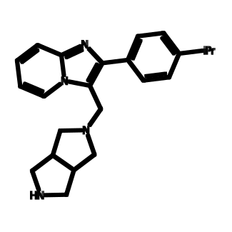 CC(C)c1ccc(-c2nc3ccccn3c2CN2CC3CNCC3C2)cc1